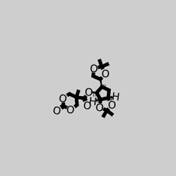 CC1(C)OCC([C@H]2C[C@@H]3OC(C)(C)O[C@@H]3[C@H]2OC(=O)C2(C)COC(=O)OC2)O1